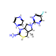 NC1=N[C@@]2(c3cnccn3)CN(c3ncc(F)cn3)C[C@H]2CS1